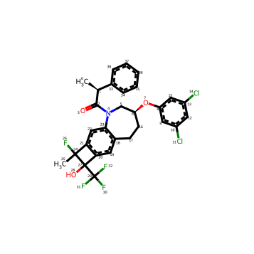 C[C@H](C(=O)N1C[C@@H](Oc2cc(Cl)cc(Cl)c2)CCc2cc3c(cc21)C(C)(F)C3(O)C(F)(F)F)c1ccccc1